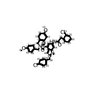 COc1ccc(CN(Cc2ccc(OC)cc2)S(=O)(=O)c2cc(NC(=O)Cc3ccccc3Cl)cc3nn(Cc4ccc(Cl)cc4)cc23)cc1